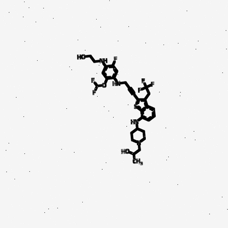 CC(O)CN1CCC(Nc2cccc3c(CC(F)(F)F)c(C#CCNc4cc(F)c(NCCO)cc4OC(F)F)sc23)CC1